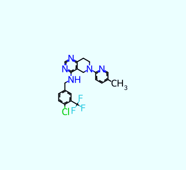 Cc1ccc(N2CCc3ncnc(NCc4ccc(Cl)c(C(F)(F)F)c4)c3C2)nc1